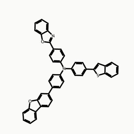 c1ccc2sc(-c3ccc(N(c4ccc(-c5ccc6c(c5)oc5ccccc56)cc4)c4ccc(-c5nc6ccccc6o5)cc4)cc3)cc2c1